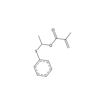 C=C(C)C(=O)OC(C)Sc1ccccc1